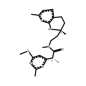 COc1cc([C@@H](C)C(=O)N(C)CC[C@@]2(C)CCc3ccc(C)nc3N2)nc(C)n1